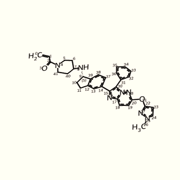 C=CC(=O)N1CCC(N[C@H]2CCc3cc(-c4nc5ccc(Oc6ccn(C)n6)nn5c4-c4ccccc4)ccc32)CC1